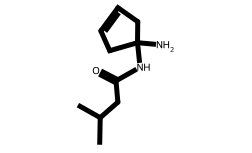 CC(C)CC(=O)NC1(N)CC=CC1